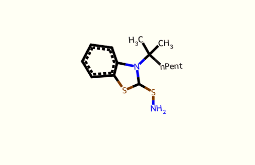 CCCCCC(C)(C)N1c2ccccc2SC1SN